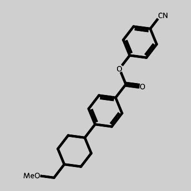 COCC1CCC(c2ccc(C(=O)Oc3ccc(C#N)cc3)cc2)CC1